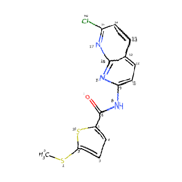 CSc1ccc(C(=O)Nc2ccc3ccc(Cl)nc3n2)s1